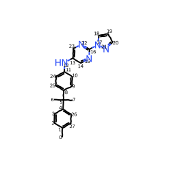 Cc1ccc(C(C)(C)c2ccc(Nc3cnc(-n4cccn4)nc3)cc2)cc1